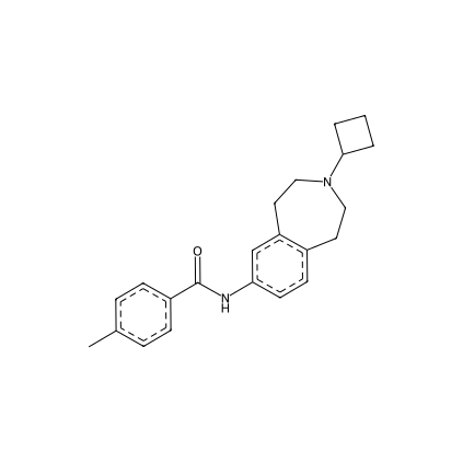 Cc1ccc(C(=O)Nc2ccc3c(c2)CCN(C2CCC2)CC3)cc1